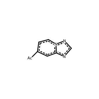 CC(=O)c1ccn2ncnc2c1